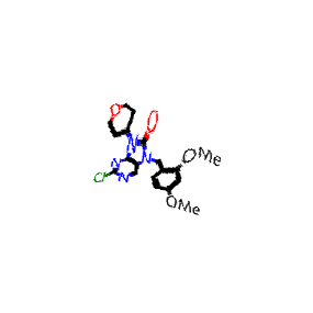 COc1ccc(Cn2c(=O)n(C3CCOCC3)c3nc(Cl)ncc32)c(OC)c1